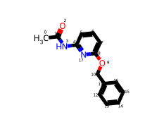 CC(=O)Nc1cccc(OCc2ccccc2)n1